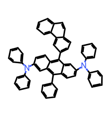 c1ccc(-c2c3ccc(N(c4ccccc4)c4ccccc4)cc3c(-c3ccc4ccc5ccccc5c4c3)c3ccc(N(c4ccccc4)c4ccccc4)cc23)cc1